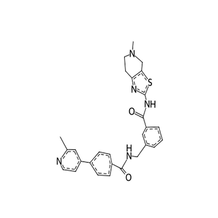 Cc1cc(-c2ccc(C(=O)NCc3cccc(C(=O)Nc4nc5c(s4)CN(C)CC5)c3)cc2)ccn1